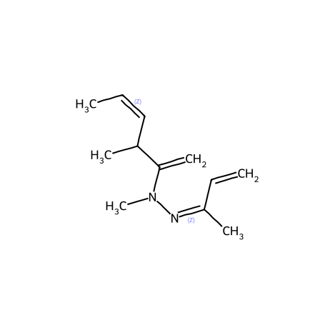 C=C/C(C)=N\N(C)C(=C)C(C)/C=C\C